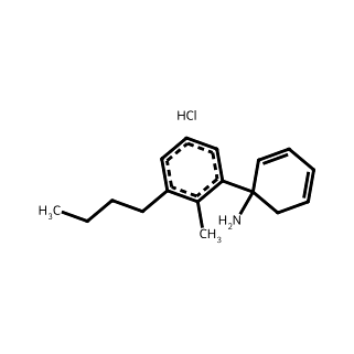 CCCCc1cccc(C2(N)C=CC=CC2)c1C.Cl